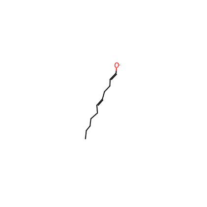 CCCCCC=CCCC=C[O]